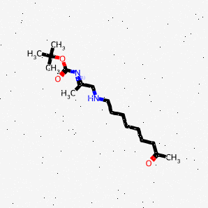 CC(=O)CCCCCCCNC/C(C)=N/C(=O)OC(C)(C)C